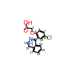 O=C(O)COc1ccc(Cl)cc1[C@H]1NCCc2ccccc21